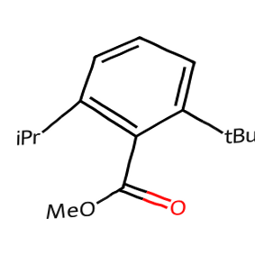 COC(=O)c1c(C(C)C)cccc1C(C)(C)C